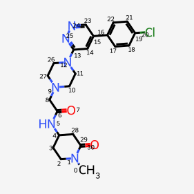 CN1CCC(NC(=O)CN2CCN(c3cc(-c4ccc(Cl)cc4)cnn3)CC2)CC1=O